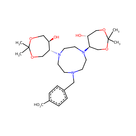 CC1(C)OC[C@@H](O)[C@H](N2CCN(Cc3ccc(C(=O)O)cc3)CCN([C@@H]3COC(C)(C)OC[C@H]3O)CC2)CO1